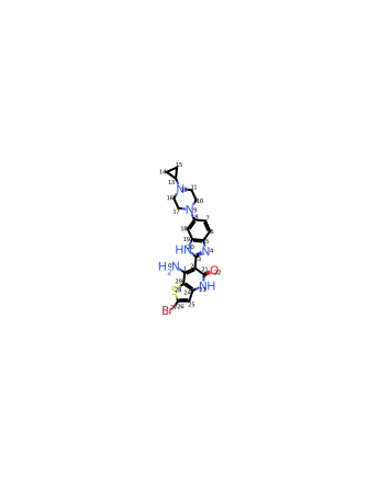 Nc1c(-c2nc3ccc(N4CCN(C5CC5)CC4)cc3[nH]2)c(=O)[nH]c2cc(Br)sc12